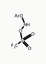 CC(=O)ONOS(=O)(=O)C(F)(F)F